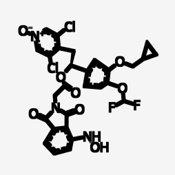 O=C(CN1C(=O)c2cccc(NO)c2C1=O)O[C@@H](Cc1c(Cl)c[n+]([O-])cc1Cl)c1ccc(OC(F)F)c(OCC2CC2)c1